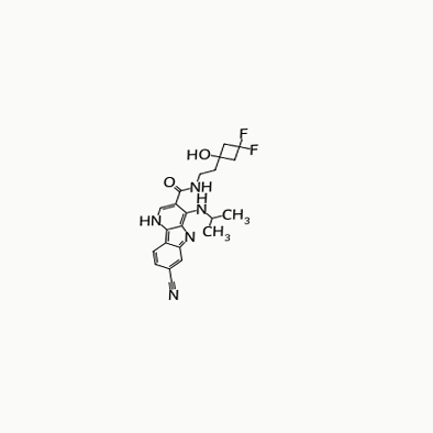 CC(C)Nc1c(C(=O)NCCC2(O)CC(F)(F)C2)c[nH]c2c3ccc(C#N)cc3nc1-2